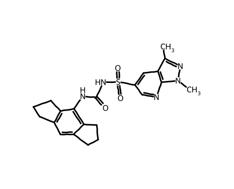 Cc1nn(C)c2ncc(S(=O)(=O)NC(=O)Nc3c4c(cc5c3CCC5)CCC4)cc12